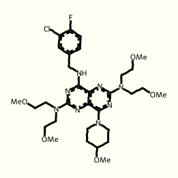 COCCN(CCOC)c1nc(N2CCC(OC)CC2)c2nc(N(CCOC)CCOC)nc(NCc3ccc(F)c(Cl)c3)c2n1